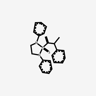 C=C(C(C)c1ccccc1)P1(=S)N(c2ccccc2)CCN1c1ccccc1